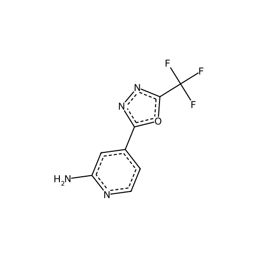 Nc1cc(-c2nnc(C(F)(F)F)o2)ccn1